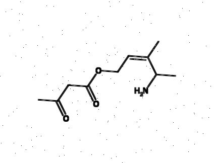 CC(=O)CC(=O)OC/C=C(/C)C(C)N